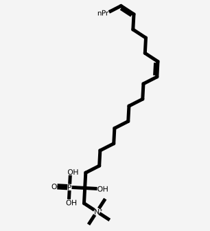 CCC/C=C\CCC/C=C\CCCCCCCCCC(O)(C[N+](C)(C)C)P(=O)(O)O